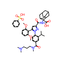 COc1cccc(OC)c1-c1cc(C(=O)NC2(C(=O)O)C3CC4CC(C3)CC2C4)nn1-c1ccc(C(=O)N(C)CCCN(C)C)cc1C(C)C.O=S(=O)(O)c1ccccc1